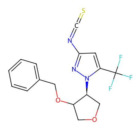 FC(F)(F)c1cc(N=C=S)nn1[C@H]1COCC1OCc1ccccc1